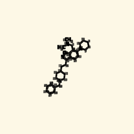 CN(C)Cc1c(N2CCCCC2)ccc2c(CCC3CCN(Cc4ccccc4)CC3)noc12